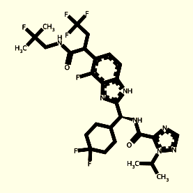 CC(C)n1ncnc1C(=O)N[C@H](c1nc2c(F)c(C(CC(F)(F)F)C(=O)NCC(C)(C)F)ccc2[nH]1)C1CCC(F)(F)CC1